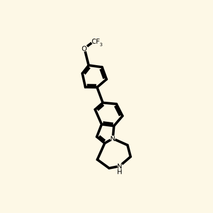 FC(F)(F)Oc1ccc(-c2ccc3c(c2)cc2n3CCNCC2)cc1